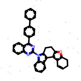 C1=Cc2c(oc3c2-c2c(n(-c4nc(-c5ccc(-c6ccccc6)cc5)c5ccccc5n4)c4ccccc24)CC3)CC1